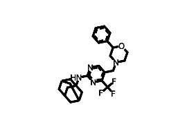 FC(F)(F)c1nc(NC23CC4CC(CC(C4)C2)C3)ncc1CN1CCOC(c2ccccc2)C1